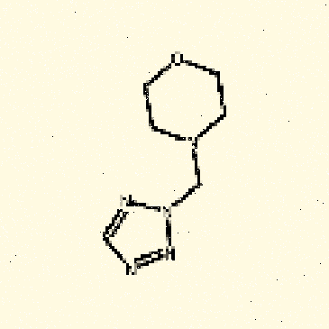 c1nnn(CN2CCOCC2)n1